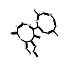 C=C/C=c1/c(=C)c(-c2ccc(C)ccncc(C)n2)nccc(=C)s/c1=C/C